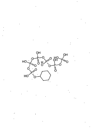 O=P(O)(O)OP(=O)(O)OP(=O)(O)OP(=O)(O)OP(=O)(O)OP(=O)(O)OC1CCCCC1